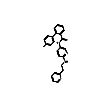 O=C(Nc1ccc(NCCc2ccccn2)nc1)c1ccccc1-c1ccc(C(F)(F)F)cc1